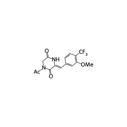 COc1cc(C=C2NC(=O)CN(C(C)=O)C2=O)ccc1C(F)(F)F